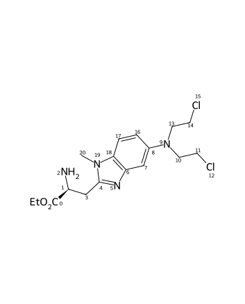 CCOC(=O)[C@@H](N)Cc1nc2cc(N(CCCl)CCCl)ccc2n1C